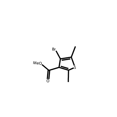 COC(=O)c1c(C)sc(C)c1Br